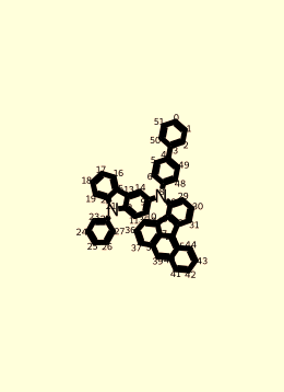 c1ccc(-c2ccc(N(c3ccc4c(c3)c3ccccc3n4-c3ccccc3)c3cccc4c3-c3cccc5cc6ccccc6c-4c35)cc2)cc1